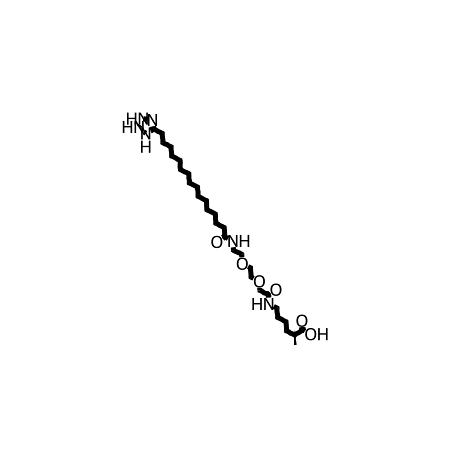 C[C@@H](CCCCNC(=O)COCCOCCNC(=O)CCCCCCCCCCCCCCCC1=NNNN1)C(=O)O